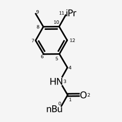 CCCCC(=O)NCc1ccc(C)c(C(C)C)c1